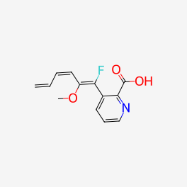 C=C/C=C\C(OC)=C(/F)c1cccnc1C(=O)O